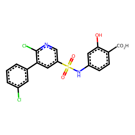 O=C(O)c1ccc(NS(=O)(=O)c2cnc(Cl)c(-c3cccc(Cl)c3)c2)cc1O